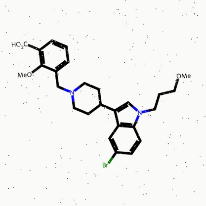 COCCCn1cc(C2CCN(Cc3cccc(C(=O)O)c3OC)CC2)c2cc(Br)ccc21